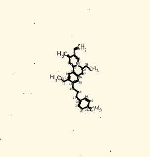 C=CC1=CN2C(=CC1=C)c1cc(CC)c(CCCC3=CCC(C)C=C3)cc1CC2CC